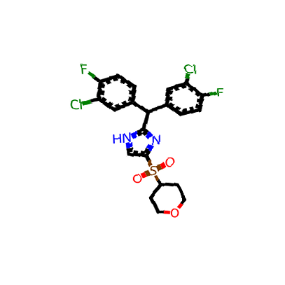 O=S(=O)(c1c[nH]c(C(c2ccc(F)c(Cl)c2)c2ccc(F)c(Cl)c2)n1)C1CCOCC1